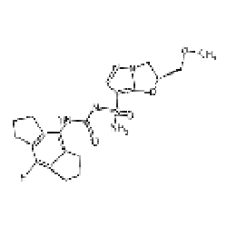 COC[C@@H]1Cn2ncc(S(N)(=O)=NC(=O)Nc3c4c(c(F)c5c3CCC5)CCC4)c2O1